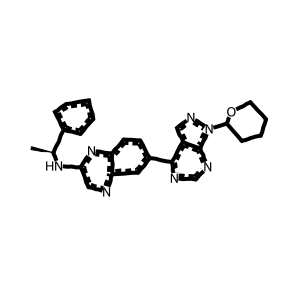 C[C@H](Nc1cnc2cc(-c3ncnc4c3cnn4C3CCCCO3)ccc2n1)c1ccccc1